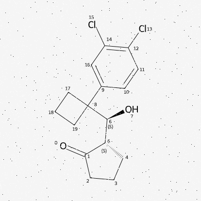 O=C1CCC[C@H]1[C@H](O)C1(c2ccc(Cl)c(Cl)c2)CCC1